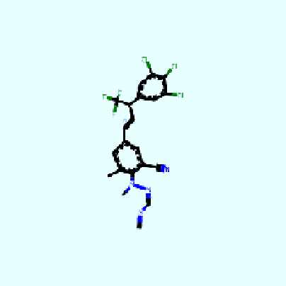 C=N/C=N\N(C)c1c(C)cc(/C=C/C(c2cc(Cl)c(Cl)c(Cl)c2)C(F)(F)F)cc1C#N